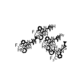 Cc1n[nH]cc1-c1nc2c3cccc(C(F)(F)F)c3nc(N[C@@H]3CCCCNC3=O)n2n1.Cc1nn(C(C)C)cc1-c1nc2c3cccc(C(F)(F)F)c3nc(N[C@@H]3CCCCNC3=O)n2n1.Cc1nn(C2CC2)c(C)c1-c1nc2c3cccc(C(F)(F)F)c3nc(N[C@@H]3CCCCNC3=O)n2n1.O=C1NCCCC[C@H]1Nc1nc2c(C(F)(F)F)cccc2c2nc(-c3nc(C4CC4)cs3)nn12